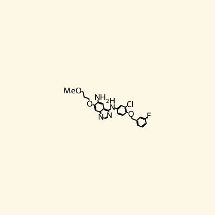 COCCCOc1cc2ncnc(Nc3ccc(OCc4cccc(F)c4)c(Cl)c3)c2cc1N